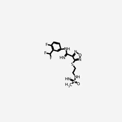 CS(=N)(=O)NCCSc1nonc1C(=N)Nc1ccc(F)c(C(F)F)c1